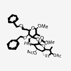 CCC(OC(C)=O)C(C)C1O[C@]2(C(=O)OC)O[C@]3(CNC2[C@@H](OC(C)=O)[C@H]1C)C(C)[C@H](OC)OC(COCc1ccccc1)[C@@H]3OCc1ccccc1